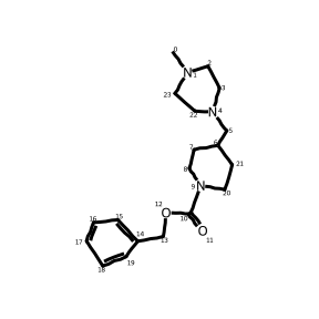 CN1CCN(CC2CCN(C(=O)OCc3ccccc3)CC2)CC1